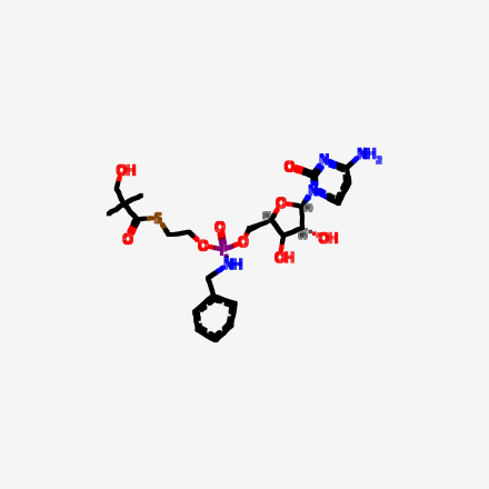 CC(C)(CO)C(=O)SCCOP(=O)(NCc1ccccc1)OC[C@H]1O[C@@H](n2ccc(N)nc2=O)[C@H](O)C1O